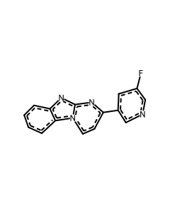 Fc1cncc(-c2ccn3c(n2)nc2ccccc23)c1